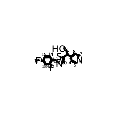 OCC(c1ccncc1)c1cnc(-c2ccc(F)cc2F)s1